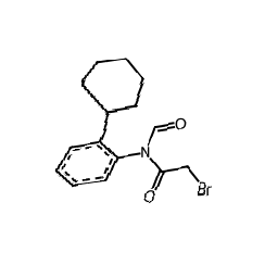 O=CN(C(=O)CBr)c1ccccc1C1CCCCC1